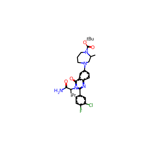 CC(C)C(C(N)=O)n1c(-c2ccc(F)c(Cl)c2)nc2ccc(N3CCCN(C(=O)OC(C)(C)C)C(C)C3)cc2c1=O